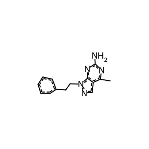 Cc1nc(N)nc2c1cnn2CCc1ccccc1